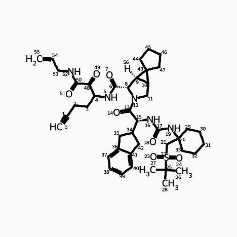 C#CCCC(NC(=O)[C@@H]1[C@@H]2C(CN1C(=O)[C@@H](NC(=O)NC1(CS(=O)(=O)C(C)(C)C)CCCCC1)C1Cc3ccccc3C1)C21CCCC1)C(=O)C(=O)NCC=C